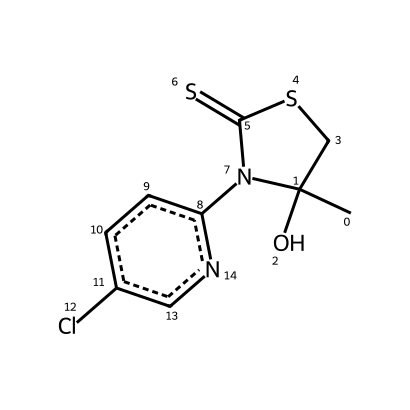 CC1(O)CSC(=S)N1c1ccc(Cl)cn1